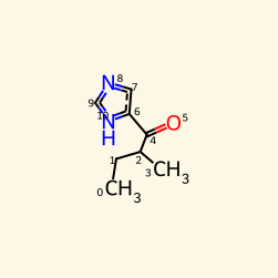 CCC(C)C(=O)c1cnc[nH]1